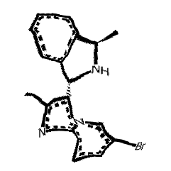 Cc1nc2ccc(Br)cn2c1[C@H]1N[C@H](C)c2ccccc21